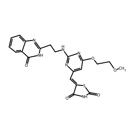 COCCOc1cc(/C=C2\SC(=O)NC2=O)nc(NCCc2nc3ccccc3c(=O)[nH]2)n1